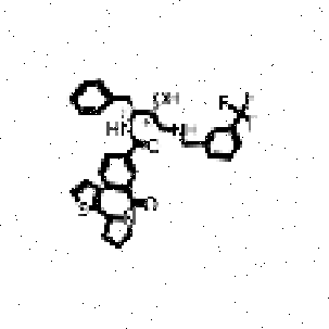 O=C(N[C@@H](Cc1ccccc1)[C@H](O)CNCc1cccc(C(F)(F)F)c1)c1cccc(C(=O)N2CCCC2c2cccs2)c1